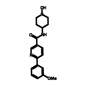 COc1cccc(-c2ccc(C(=O)NC3CCN(O)CC3)cn2)c1